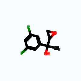 CC(O)(c1cc(F)cc(F)c1)C1CO1